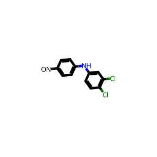 O=Nc1ccc(Nc2ccc(Cl)c(Cl)c2)cc1